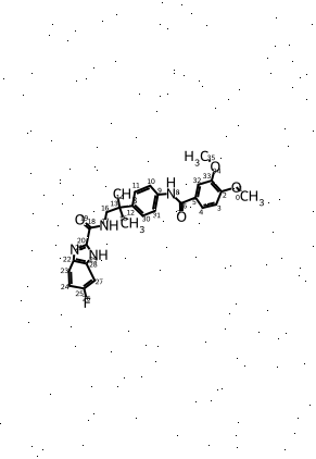 COc1ccc(C(=O)Nc2ccc(C(C)(C)CNC(=O)c3nc4ccc(F)cc4[nH]3)cc2)cc1OC